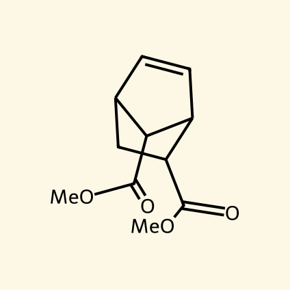 COC(=O)C1CC2C=CC1C2C(=O)OC